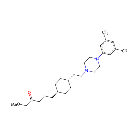 COCC(=O)CCC[C@H]1CC[C@H](CCN2CCN(c3cc(C#N)cc(C(F)(F)F)c3)CC2)CC1